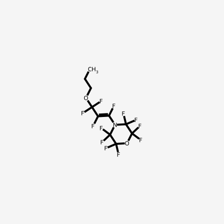 CCCOC(F)(F)/C(F)=C(\F)N1C(F)(F)C(F)(F)OC(F)(F)C1(F)F